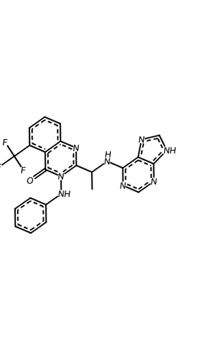 CC(Nc1ncnc2[nH]cnc12)c1nc2cccc(C(F)(F)F)c2c(=O)n1Nc1ccccc1